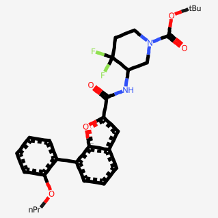 CCCOc1ccccc1-c1cccc2cc(C(=O)NC3CN(C(=O)OC(C)(C)C)CCC3(F)F)oc12